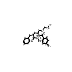 CCOCOCC(CC(Cc1ccccc1)C(=O)NO)NC(=O)c1ccc(CC)cc1